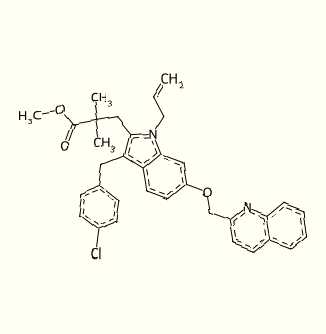 C=CCn1c(CC(C)(C)C(=O)OC)c(Cc2ccc(Cl)cc2)c2ccc(OCc3ccc4ccccc4n3)cc21